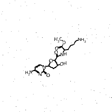 COC(=O)C(CCCCN)NC(=O)C1OC(n2ccc(N)nc2=O)CC1O